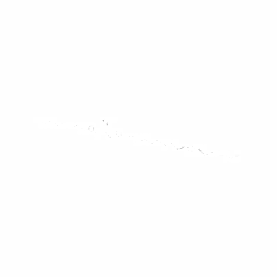 CCCCCC=CCC=CCCCCCCCCOCC(COCCCCCCCC)N(C)C